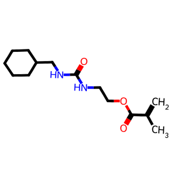 C=C(C)C(=O)OCCNC(=O)NCC1CCCCC1